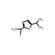 CC(C)c1cnc(C(C)I)s1